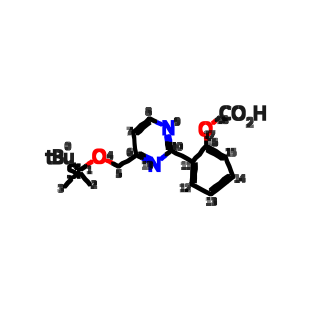 CC(C)(C)[Si](C)(C)OCc1ccnc(-c2ccccc2OC(=O)O)n1